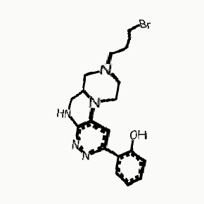 Oc1ccccc1-c1cc2c(nn1)NCC1CN(CCCBr)CCN21